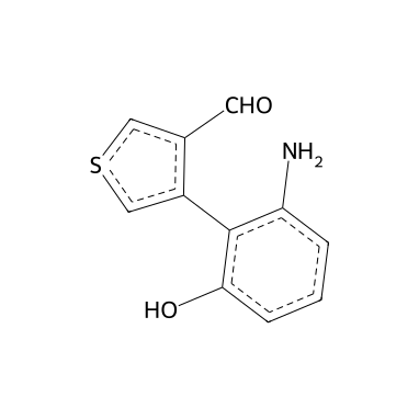 Nc1cccc(O)c1-c1cscc1C=O